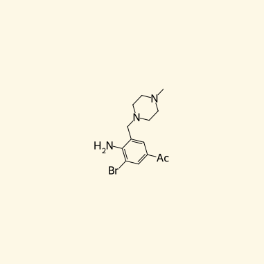 CC(=O)c1cc(Br)c(N)c(CN2CCN(C)CC2)c1